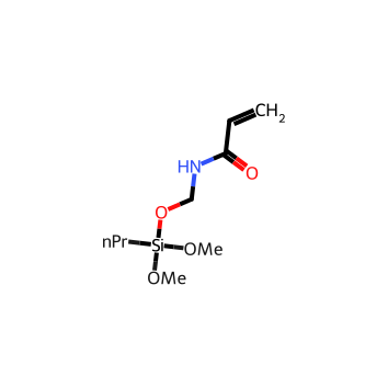 C=CC(=O)NCO[Si](CCC)(OC)OC